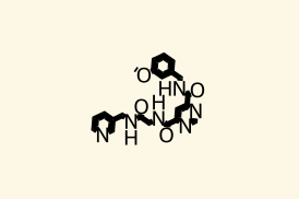 COc1cccc(CNC(=O)c2cc(C(=O)NCC(=O)NCc3cccnc3)ncn2)c1